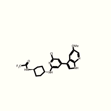 COc1cnc2[nH]cc(-c3cc(Cl)nc(N[C@H]4CC[C@H](NC(=O)C(F)(F)F)CC4)c3)c2c1